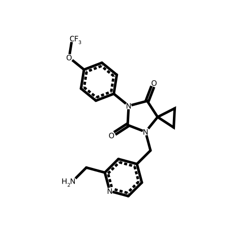 NCc1cc(CN2C(=O)N(c3ccc(OC(F)(F)F)cc3)C(=O)C23CC3)ccn1